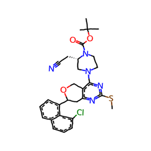 CSc1nc2c(c(N3CCN(C(=O)OC(C)(C)C)[C@@H](CC#N)C3)n1)COC(c1cccc3cccc(Cl)c13)C2